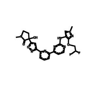 CN1CCC(O)(c2cc(-c3cccc(-c4ccnc(Nc5cn(C)nc5OCC(F)F)n4)n3)no2)C1=O